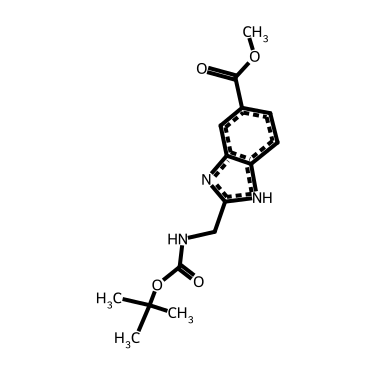 COC(=O)c1ccc2[nH]c(CNC(=O)OC(C)(C)C)nc2c1